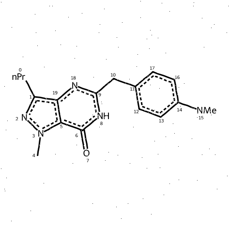 CCCc1nn(C)c2c(=O)[nH]c(Cc3ccc(NC)cc3)nc12